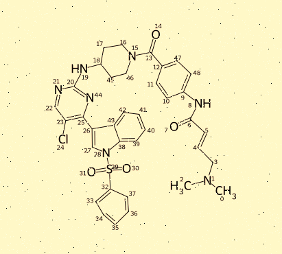 CN(C)CC=CC(=O)Nc1ccc(C(=O)N2CCC(Nc3ncc(Cl)c(-c4cn(S(=O)(=O)c5ccccc5)c5ccccc45)n3)CC2)cc1